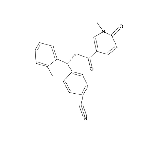 Cc1ccccc1[C@H](CC(=O)c1ccc(=O)n(C)c1)c1ccc(C#N)cc1